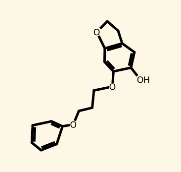 Oc1cc2c(cc1OCCCOc1ccccc1)OCC2